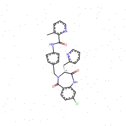 Cc1cccnc1C(=O)Nc1ccc(CN2C(=O)c3ccc(Cl)cc3NC(=O)[C@H]2Cc2ccccn2)cc1